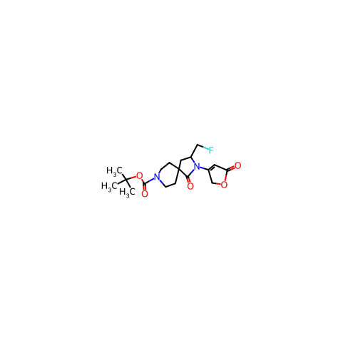 CC(C)(C)OC(=O)N1CCC2(CC1)CC(CF)N(C1=CC(=O)OC1)C2=O